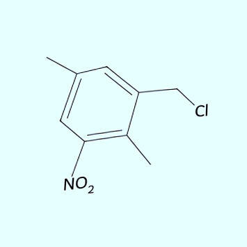 Cc1cc(CCl)c(C)c([N+](=O)[O-])c1